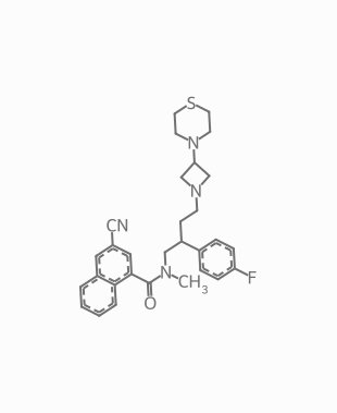 CN(CC(CCN1CC(N2CCSCC2)C1)c1ccc(F)cc1)C(=O)c1cc(C#N)cc2ccccc12